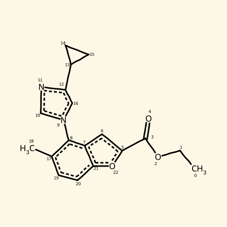 CCOC(=O)c1cc2c(-n3cnc(C4CC4)c3)c(C)ccc2o1